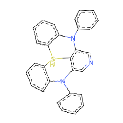 c1ccc(N2c3ccccc3[SH]3c4ccccc4N(c4ccccc4)c4cncc2c43)cc1